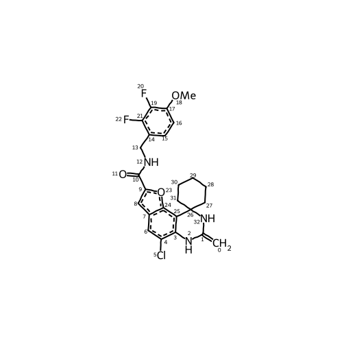 C=C1Nc2c(Cl)cc3cc(C(=O)NCc4ccc(OC)c(F)c4F)oc3c2C2(CCCCC2)N1